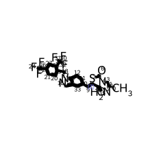 C[C@@H](N)CN1C(=O)S/C(=C\c2ccc3c(cnn3Cc3ccc(C(F)(F)F)cc3C(F)(F)F)c2)C1=O